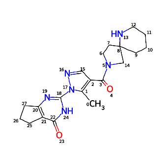 Cc1c(C(=O)N2CCC3(CCCCN3)C2)cnn1-c1nc2c(c(=O)[nH]1)CCC2